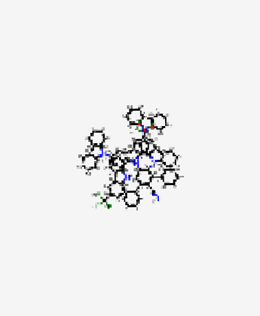 N#Cc1c(-c2ccccc2)c(-n2c3ccccc3c3cc(C(F)(F)F)ccc32)c(-n2c3ccc(-n4c5ccccc5c5ccccc54)cc3c3cc(-n4c5ccccc5c5ccccc54)ccc32)c(-n2c3ccccc3c3cc(C(F)(F)F)ccc32)c1-c1ccccc1